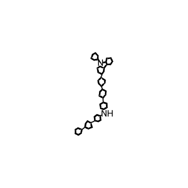 c1ccc(-c2ccc(-c3ccc(Nc4ccc(-c5ccc(-c6ccc(-c7ccc8c(c7)c7ccccc7n8-c7ccccc7)cc6)cc5)cc4)cc3)cc2)cc1